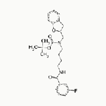 CC(C)(C)OC(=O)N(CCCCNC(=O)c1cccc(F)c1)CC1Cc2ccccc2O1